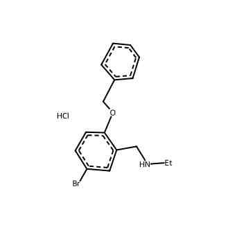 CCNCc1cc(Br)ccc1OCc1ccccc1.Cl